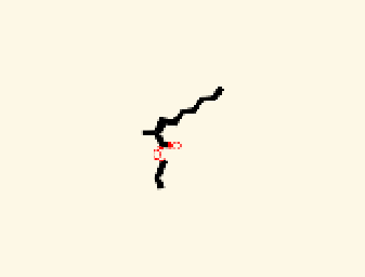 CCCCCCC=C(C)C(=O)OCCC